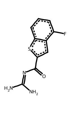 NC(N)=NC(=O)c1cc2c(F)cccc2s1